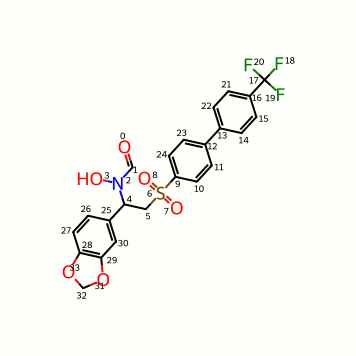 O=CN(O)C(CS(=O)(=O)c1ccc(-c2ccc(C(F)(F)F)cc2)cc1)c1ccc2c(c1)OCO2